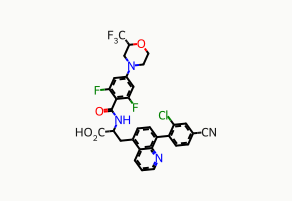 N#Cc1ccc(-c2ccc(CC(NC(=O)c3c(F)cc(N4CCOC(C(F)(F)F)C4)cc3F)C(=O)O)c3cccnc23)c(Cl)c1